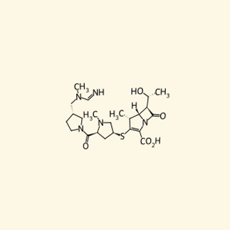 C[C@@H](O)[C@H]1C(=O)N2C(C(=O)O)=C(S[C@H]3C[C@@H](C(=O)N4CC[C@H](CN(C)C=N)C4)N(C)C3)[C@H](C)[C@H]12